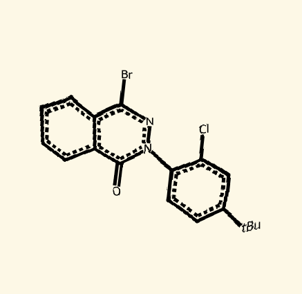 CC(C)(C)c1ccc(-n2nc(Br)c3ccccc3c2=O)c(Cl)c1